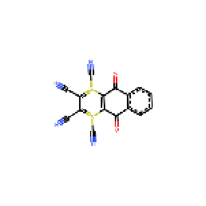 N#CC1=S(C#N)C2=C(C(=O)c3ccccc3C2=O)S(C#N)=C1C#N